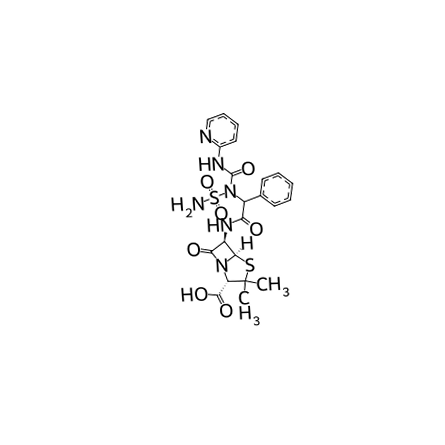 CC1(C)S[C@@H]2[C@H](NC(=O)C(c3ccccc3)N(C(=O)Nc3ccccn3)S(N)(=O)=O)C(=O)N2[C@H]1C(=O)O